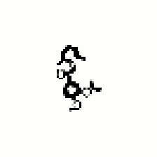 COc1ccc(C(=O)CN2C(C)=CC=CC2C)cc1OC(C)C